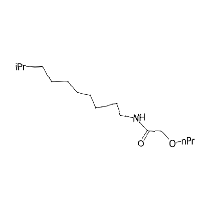 CCCOCC(=O)NCCCCCCCCC(C)C